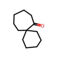 O=C1CCCCCC12CCCCC2